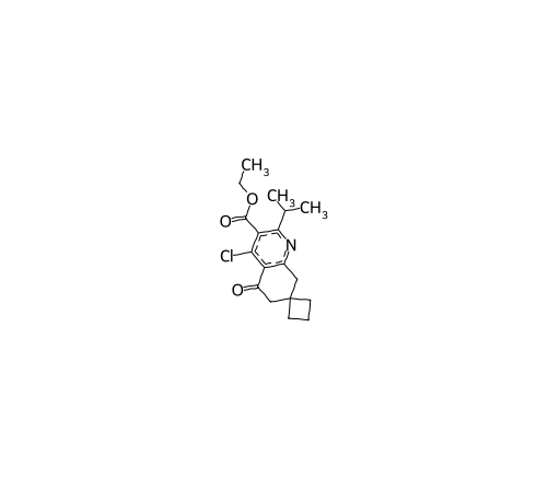 CCOC(=O)c1c(C(C)C)nc2c(c1Cl)C(=O)CC1(CCC1)C2